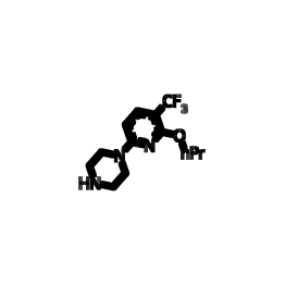 CCCOc1nc(N2CCNCC2)ccc1C(F)(F)F